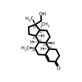 C[C@@H]1CC2=CC(=O)CC[C@@H]2[C@H]2CC[C@@]3(C)[C@H](CC[C@]3(C)CO)[C@@H]21